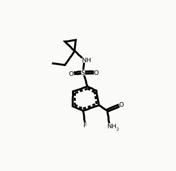 CCC1(NS(=O)(=O)c2ccc(F)c(C(N)=O)c2)CC1